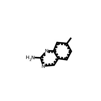 Cc1ccc2cnc(N)nc2c1